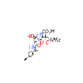 C#Cc1ccc([C@H](C)NC(=O)[C@@H]2C[C@@H](O)CN2C(=O)[C@@H](NC(=O)O)C(C)(C)CC(=O)NC)cc1